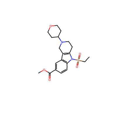 CCS(=O)(=O)n1c2c(c3cc(C(=O)OC)ccc31)CN(C1CCOCC1)CC2